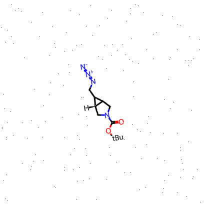 CC(C)(C)OC(=O)N1CC2C(CN=[N+]=[N-])[C@H]2C1